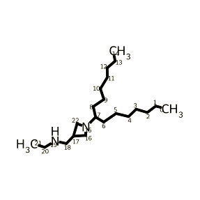 CCCCCCCC(CCCCCCC)N1CC(CNCC)C1